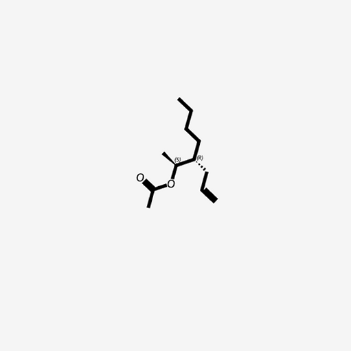 C=CC[C@@H](CCCC)[C@H](C)OC(C)=O